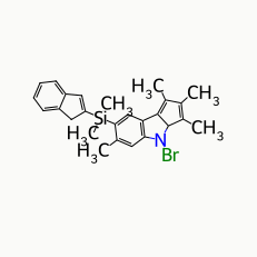 CC1=C(C)C2C(=C1C)c1cc([Si](C)(C)C3=Cc4ccccc4C3)c(C)cc1N2Br